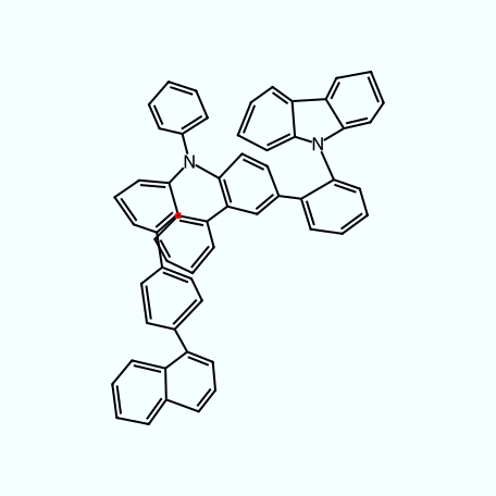 c1ccc(-c2cc(-c3ccccc3-n3c4ccccc4c4ccccc43)ccc2N(c2ccccc2)c2cccc(-c3ccc(-c4cccc5ccccc45)cc3)c2)cc1